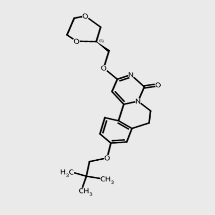 CC(C)(C)COc1ccc2c(c1)CCn1c-2cc(OC[C@@H]2COCCO2)nc1=O